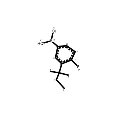 CCC(C)(C)c1cc(B(O)O)ccc1F